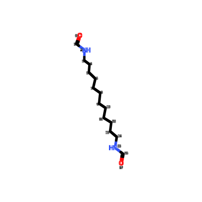 O=CNCCCCCCCCCCCCNC=O